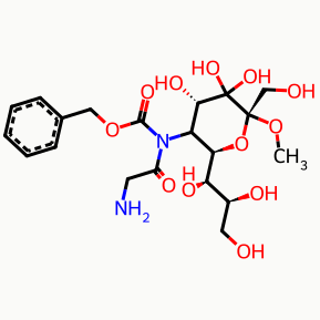 CO[C@]1(CO)O[C@@H]([C@H](O)[C@@H](O)CO)C(N(C(=O)CN)C(=O)OCc2ccccc2)[C@H](O)C1(O)O